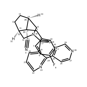 N#C[C@]1(Cc2ccc(F)cc2)[C@@H]2CC[C@H]1CN(C(=O)c1cccnc1-c1ccncn1)C2